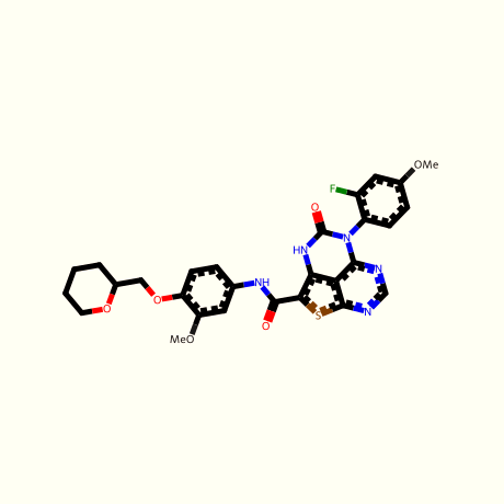 COc1ccc(N2C(=O)Nc3c(C(=O)Nc4ccc(OCC5CCCCO5)c(OC)c4)sc4ncnc2c34)c(F)c1